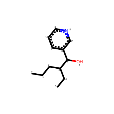 CCCC(CC)C(O)c1cccnc1